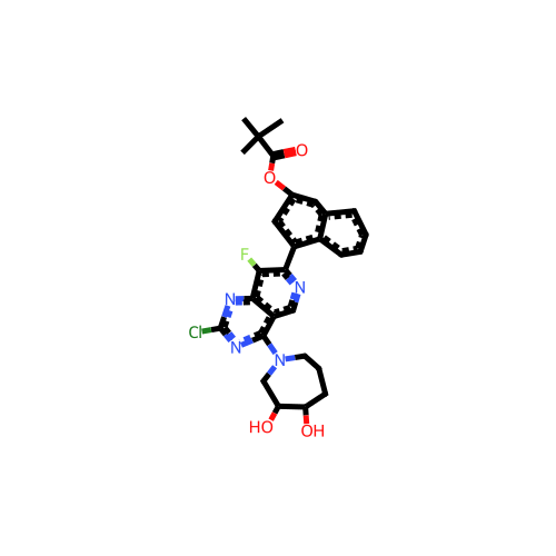 CC(C)(C)C(=O)Oc1cc(-c2ncc3c(N4CCCC(O)C(O)C4)nc(Cl)nc3c2F)c2ccccc2c1